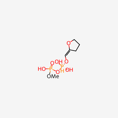 COP(=O)(O)O[PH](O)(O)O/C=C1\CCCO1